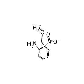 COCC1([N+](=O)[O-])C=CC=CC1N